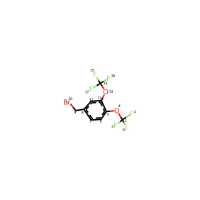 FC(F)(F)Oc1ccc(CBr)cc1OC(F)(F)F